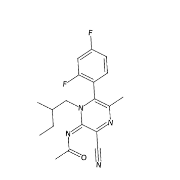 CCC(C)Cn1c(-c2ccc(F)cc2F)c(C)nc(C#N)c1=NC(C)=O